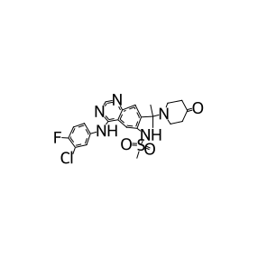 CC(C)(c1cc2ncnc(Nc3ccc(F)c(Cl)c3)c2cc1NS(C)(=O)=O)N1CCC(=O)CC1